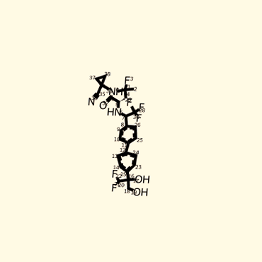 CC(C)(F)C[C@H](NC(c1ccc(-c2ccc(C(O)(CO)C(F)F)cc2)cc1)C(F)(F)F)C(=O)NC1(C#N)CC1